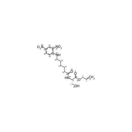 C=CCOC(=O)[C@H](CO)NC(=O)CCCCCNc1ccc([N+](=O)[O-])cc1[N+](=O)[O-]